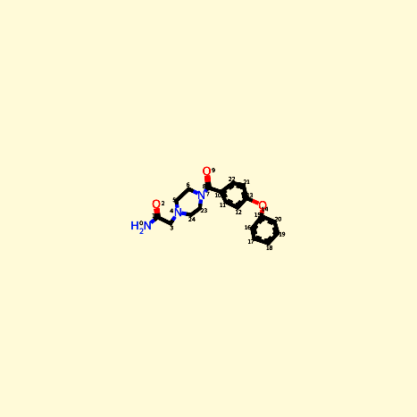 NC(=O)CN1CCN(C(=O)c2ccc(Oc3ccccc3)cc2)CC1